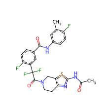 CC(=O)Nc1nc2c(s1)CN(C(=O)C(F)(F)c1cc(C(=O)Nc3ccc(F)c(C)c3)ccc1F)CC2